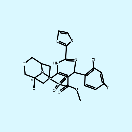 COC(=O)C1=C(CN2C3COC[C@H]2CN(S(C)(=O)=O)C3)NC(c2nccs2)=NC1c1ccc(F)cc1Cl